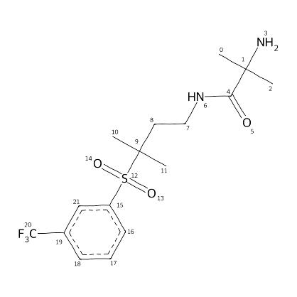 CC(C)(N)C(=O)NCCC(C)(C)S(=O)(=O)c1cccc(C(F)(F)F)c1